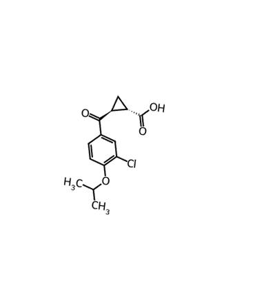 CC(C)Oc1ccc(C(=O)[C@H]2C[C@@H]2C(=O)O)cc1Cl